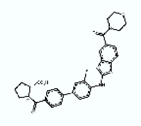 O=C(O)[C@H]1CCC[C@@H]1C(=O)c1ccc(-c2ccc(Nc3nc4ccc(C(=O)N5CCOCC5)cc4s3)c(F)c2)cc1